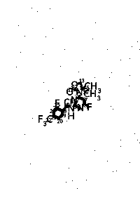 C[C@H](Nc1nc(F)cc(N2C(=O)OCC2(C)C)n1)c1ccc(C(F)(F)F)cc1F